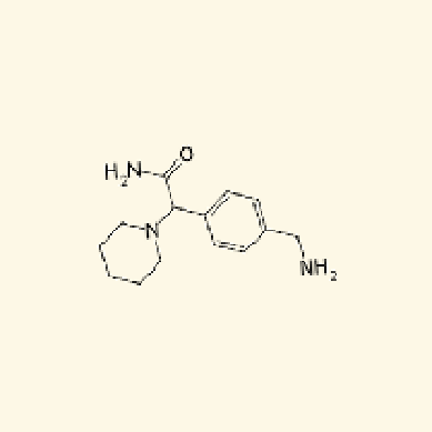 NCc1ccc(C(C(N)=O)N2CCCCC2)cc1